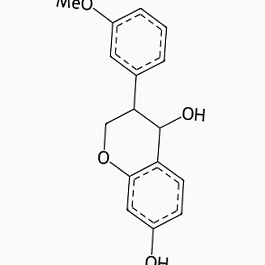 COc1cccc(C2COc3cc(O)ccc3C2O)c1